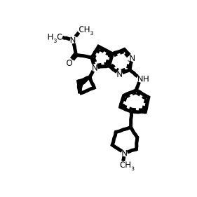 CN1CCC(c2ccc(Nc3ncc4cc(C(=O)N(C)C)n(C56CC(C5)C6)c4n3)cc2)CC1